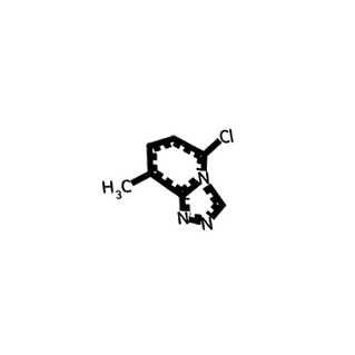 Cc1ccc(Cl)n2cnnc12